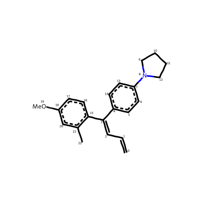 C=C/C=C(\c1ccc(N2CCCC2)cc1)c1ccc(OC)cc1C